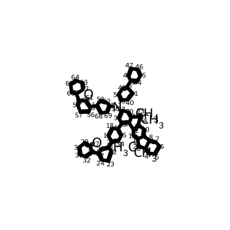 CC1(C)c2ccccc2-c2cc3c(cc21)-c1c(-c2ccc(-c4cccc5c4oc4ccccc45)cc2)cc(N(c2ccc(-c4ccccc4)cc2)c2ccc(-c4cccc5c4oc4ccccc45)cc2)cc1C3(C)C